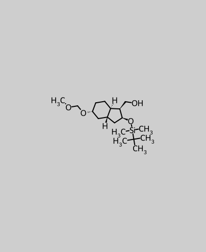 COCO[C@@H]1CC[C@@H]2[C@@H](C1)C[C@H](O[Si](C)(C)C(C)(C)C)[C@@H]2CO